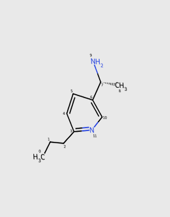 CCCc1ccc([C@@H](C)N)cn1